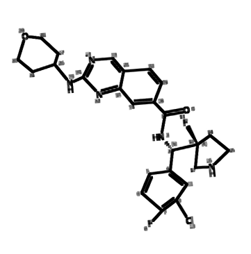 O=C(N[C@@H](c1ccc(F)c(Cl)c1)[C@]1(F)CCNC1)c1ccc2cnc(NC3CCOCC3)nc2c1